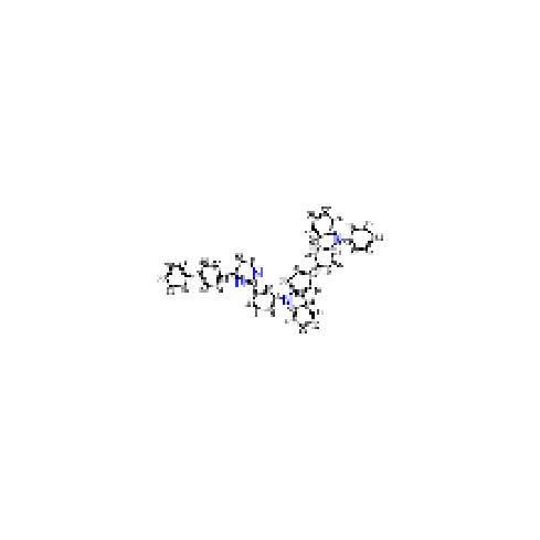 C1=NC(c2cccc(-n3c4ccccc4c4cc(-c5ccc6c(c5)c5ccccc5n6-c5ccccc5)ccc43)c2)=NC(c2ccc(-c3ccccc3)cc2)C1